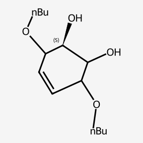 CCCCOC1C=CC(OCCCC)[C@@H](O)C1O